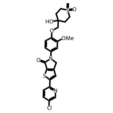 C=S1(=O)CCC(O)(COc2ccc(N3Cc4cc(-c5ccc(Cl)cn5)sc4C3=O)cc2OC)CC1